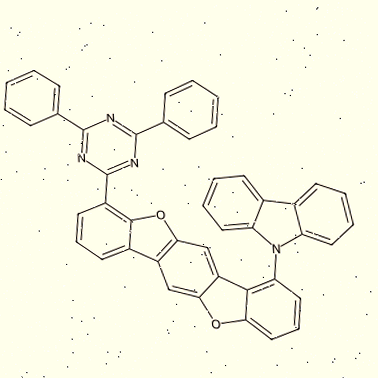 c1ccc(-c2nc(-c3ccccc3)nc(-c3cccc4c3oc3cc5c(cc34)oc3cccc(-n4c6ccccc6c6ccccc64)c35)n2)cc1